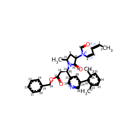 C/C=C\C=C/N(C=O)C1CC(C)N([C@H](CC(=O)OCc2ccccc2)c2cncc(-c3c(C)cccc3C)c2)C1=O